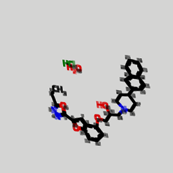 CCc1nnc(-c2cc3c(OC[C@@H](O)CN4CCC(c5ccc6ccccc6c5)CC4)cccc3o2)o1.Cl.O